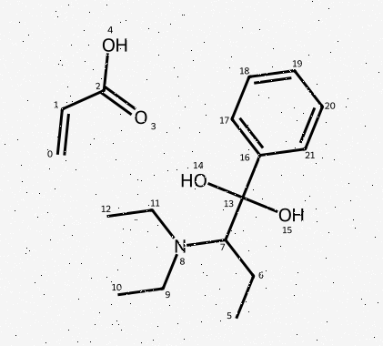 C=CC(=O)O.CCC(N(CC)CC)C(O)(O)c1ccccc1